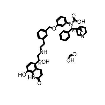 O=C(O)N(c1cccc(OCc2cccc(CCNC[C@H](O)c3ccc(O)c4[nH]c(=O)ccc34)c2)c1)[C@@H](c1ccccc1)C1CN2CCC1CC2.O=CO